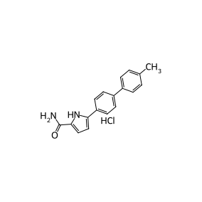 Cc1ccc(-c2ccc(-c3ccc(C(N)=O)[nH]3)cc2)cc1.Cl